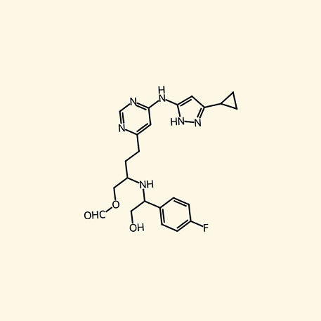 O=COCC(CCc1cc(Nc2cc(C3CC3)n[nH]2)ncn1)NC(CO)c1ccc(F)cc1